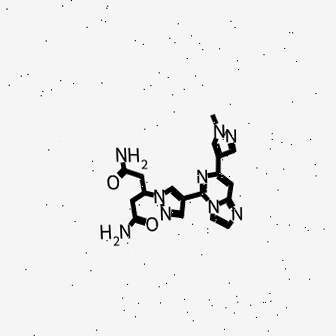 Cn1cc(-c2cc3nccn3c(-c3cnn(C(CC(N)=O)CC(N)=O)c3)n2)cn1